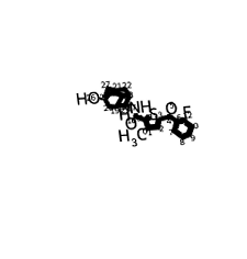 Cc1cc(C(=O)c2ccccc2F)sc1C(=O)N[C@H]1C2CC3CC1C[C@](O)(C3)C2